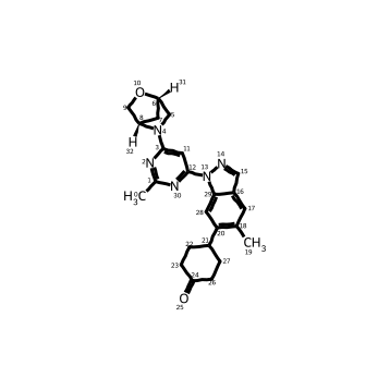 Cc1nc(N2C[C@@H]3C[C@H]2CO3)cc(-n2ncc3cc(C)c(C4CCC(=O)CC4)cc32)n1